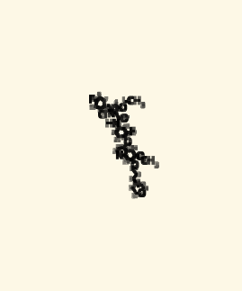 CCOc1cn(-c2ccc(F)cc2Cl)nc1C(=O)Nc1ccc(Oc2ccnc3cc(OCCCN4CCOCC4)c(OC)cc23)c(F)c1